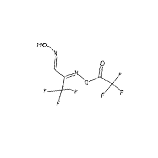 O=C(ON=C(C=NO)C(F)(F)F)C(F)(F)F